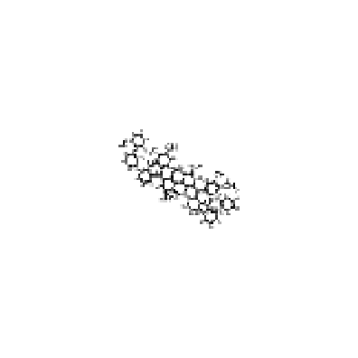 CCc1ccccc1-c1cccc(-c2cccc(N(c3ccc(C)c(C)c3)c3cc(C(C)C)c4ccc5c(N(c6ccc(C)c(C)c6)c6cccc7c6oc6c(-c8ccccc8CC)cccc67)cc(C(C)C)c6ccc3c4c65)c2O)c1